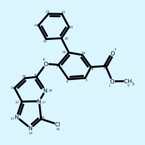 COC(=O)c1ccc(Oc2ccc3nnc(Cl)n3n2)c(-c2ccccc2)c1